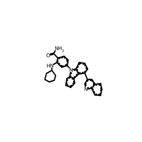 NC(=O)c1ccc(-n2c3ccccc3c3c(-c4cnc5ccccc5c4)cccc32)cc1NC1CCCCC1